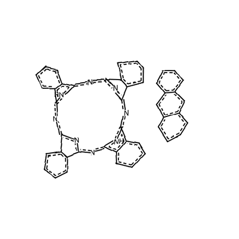 c1ccc2c(c1)-c1nc-2nc2[nH]c(nc3nc(nc4[nH]c(n1)c1ccccc41)-c1ccccc1-3)c1ccccc21.c1ccc2cc3ccccc3cc2c1